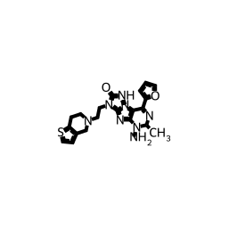 CC1N=C(c2ccco2)c2c(nc3n(CCN4CCc5sccc5C4)c(=O)[nH]n23)N1N